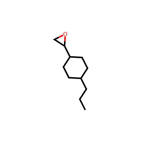 CCCC1CCC(C2CO2)CC1